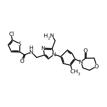 Cc1cc(-n2cc(CNC(=O)c3ccc(Cl)s3)nc2CN)ccc1N1CCOCC1=O